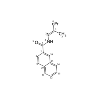 CCC/C(C)=N/NC(=O)c1ccc2ccccc2c1